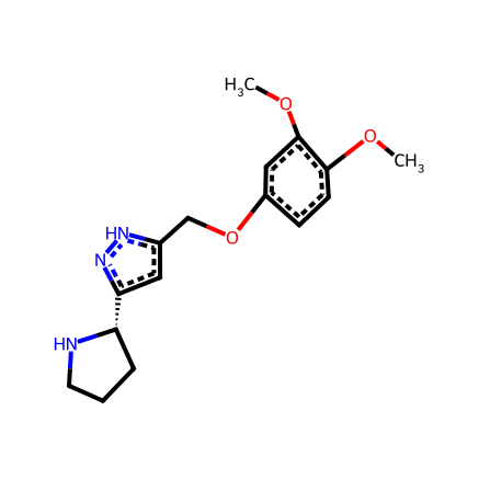 COc1ccc(OCc2cc([C@@H]3CCCN3)n[nH]2)cc1OC